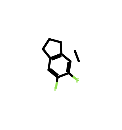 CC.Fc1cc2c(cc1F)CCC2